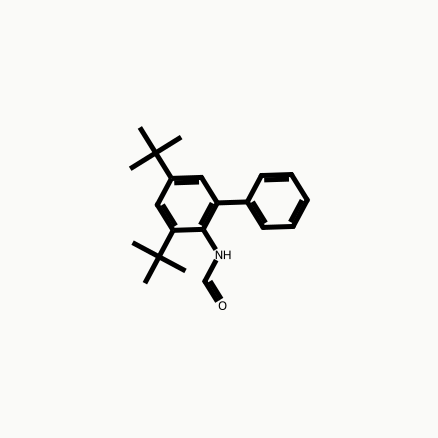 CC(C)(C)c1cc(-c2ccccc2)c(NC=O)c(C(C)(C)C)c1